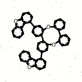 c1ccc2c(c1)Oc1cc(-c3cccc4oc5ccccc5c34)ccc1-c1ccc(-c3cccc4oc5ccccc5c34)cc1Oc1ccccc1-2